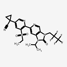 CCS(=O)(=O)c1cc(C2(C#N)CC2)cnc1-c1cc2c(cn1)n(CC(F)(F)C(F)(F)F)c(=O)n2C(C)C